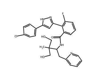 CC(CO)(CO)C(Cc1ccccn1)NC(=O)c1cccc(F)c1-c1cc(-c2ccc(Cl)cc2)[nH]n1